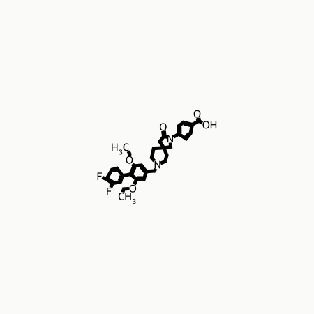 CCOc1cc(CN2CCC3(CC2)CC(=O)N(c2ccc(C(=O)O)cc2)C3)cc(OCC)c1-c1ccc(F)c(F)c1